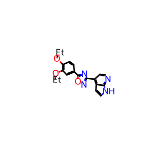 CCOc1ccc(-c2nc(-c3ccnc4[nH]ccc34)no2)cc1OCC